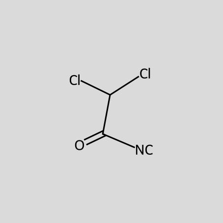 [C-]#[N+]C(=O)C(Cl)Cl